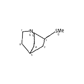 [CH2]SC1CC2CCN1CC2